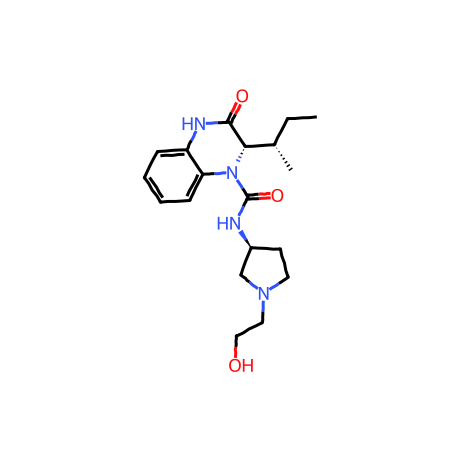 CC[C@H](C)[C@H]1C(=O)Nc2ccccc2N1C(=O)N[C@H]1CCN(CCO)C1